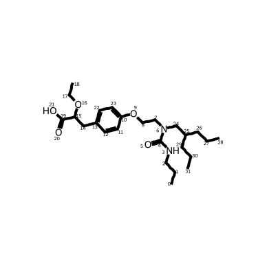 CCCNC(=O)N(CCOc1ccc(CC(OCC)C(=O)O)cc1)CC(CCC)CCC